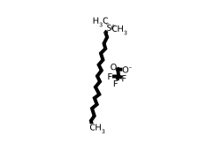 CCCCCCCCCCCCCCCCCC[S+](C)C.O=C([O-])C(F)(F)F